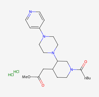 CCCCC(=O)N1CCC(CC(=O)OC)C(N2CCN(c3ccncc3)CC2)C1.Cl.Cl